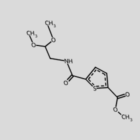 COC(=O)c1ccc(C(=O)NCC(OC)OC)s1